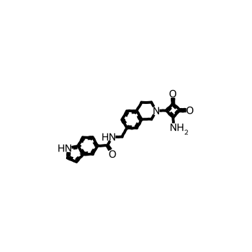 Nc1c(N2CCc3ccc(CNC(=O)c4ccc5[nH]ccc5c4)cc3C2)c(=O)c1=O